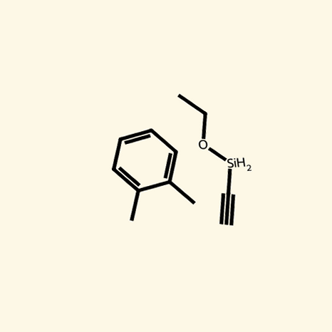 C#C[SiH2]OCC.Cc1ccccc1C